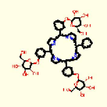 OC[C@H]1O[C@@H](Oc2cccc(-c3c4nc(c(-c5cccc(O[C@@H]6O[C@H](CO)[C@@H](O)[C@H](O)[C@H]6O)c5)c5ccc([nH]5)c(-c5cccc(O[C@@H]6O[C@H](CO)[C@@H](O)[C@H](O)[C@H]6O)c5)c5nc(c(-c6ccccc6)c6ccc3[nH]6)C=C5)C=C4)c2)[C@H](O)[C@@H](O)[C@@H]1O